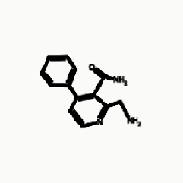 NCc1nccc(-c2ccccc2)c1C(N)=O